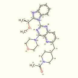 CO[C@@H](C)c1nc2ccccc2n1-c1nc(N2CCOCC2)c2nc(CC3CCN(C(C)=O)CC3)ccc2n1